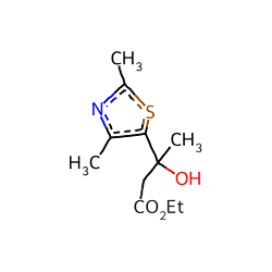 CCOC(=O)CC(C)(O)c1sc(C)nc1C